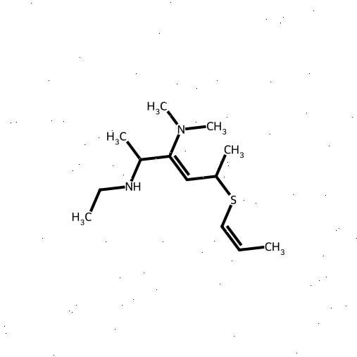 C/C=C\SC(C)/C=C(/C(C)NCC)N(C)C